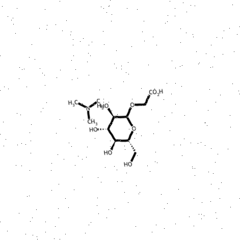 CN(C)C.O=C(O)COC1O[C@H](CO)[C@@H](O)[C@H](O)[C@H]1O